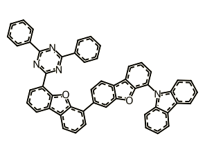 c1ccc(-c2nc(-c3ccccc3)nc(-c3cccc4c3oc3c(-c5ccc6c(c5)oc5c(-n7c8ccccc8c8ccccc87)cccc56)cccc34)n2)cc1